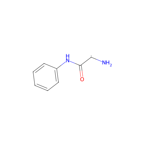 N[CH]C(=O)Nc1ccccc1